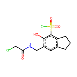 O=C(CCl)NCc1cc2c(c(S(=O)(=O)Cl)c1O)CCC2